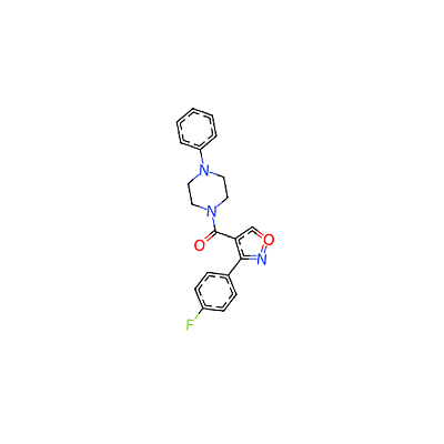 O=C(c1conc1-c1ccc(F)cc1)N1CCN(c2ccccc2)CC1